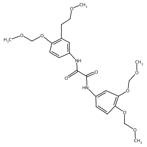 COCCc1cc(NC(=O)C(=O)Nc2ccc(OCOC)c(OCOC)c2)ccc1OCOC